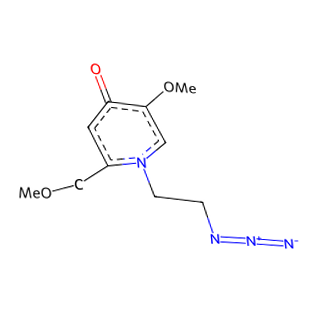 COCc1cc(=O)c(OC)cn1CCN=[N+]=[N-]